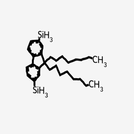 CCCCCCCCC1(CCCCCCCC)c2cc([SiH3])ccc2-c2ccc([SiH3])cc21